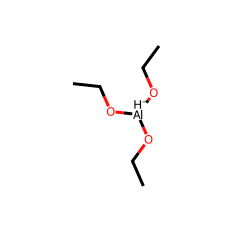 CC[O][AlH-]([O]CC)[O]CC